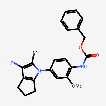 COc1cc(-n2c(C#N)c(N)c3c2CCC3)ccc1NC(=O)OCc1ccccc1